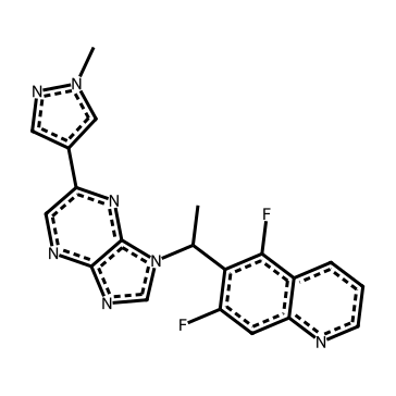 CC(c1c(F)cc2ncccc2c1F)n1cnc2ncc(-c3cnn(C)c3)nc21